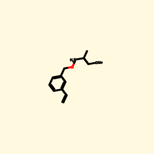 C=Cc1cccc(CO[SiH2]C(C)COC)c1